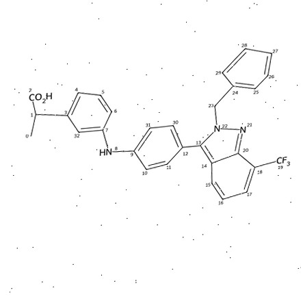 CC(C(=O)O)c1cccc(Nc2ccc(-c3c4cccc(C(F)(F)F)c4nn3Cc3ccccc3)cc2)c1